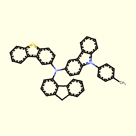 Cc1ccc(-n2c3ccccc3c3cc(N(c4ccc5sc6ccccc6c5c4)c4cccc5c4-c4ccccc4C5)ccc32)cc1